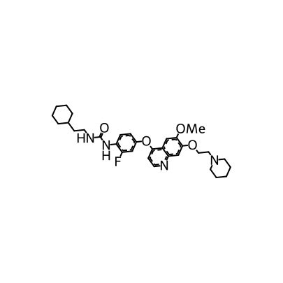 COc1cc2c(Oc3ccc(NC(=O)NCCC4CCCCC4)c(F)c3)ccnc2cc1OCCN1CCCCC1